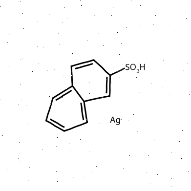 O=S(=O)(O)c1ccc2ccccc2c1.[Ag]